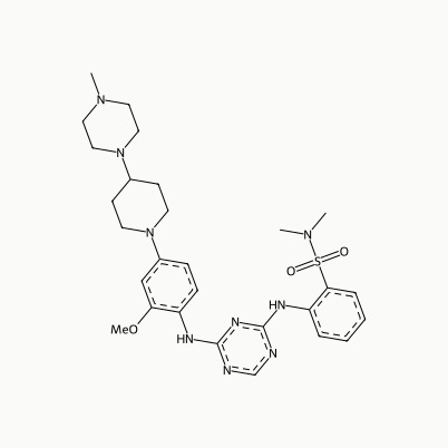 COc1cc(N2CCC(N3CCN(C)CC3)CC2)ccc1Nc1ncnc(Nc2ccccc2S(=O)(=O)N(C)C)n1